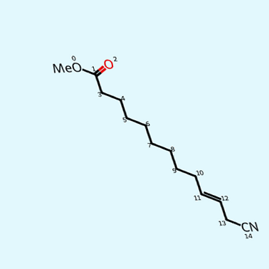 COC(=O)CCCCCCCCC=CCC#N